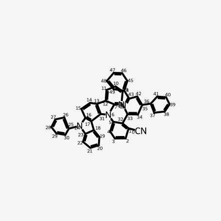 N#Cc1cccc(-n2c3ncccc3c3ccc4c(c5ccccc5n4-c4ccccc4)c32)c1-c1cc(-c2ccccc2)cc(-c2ccccc2)n1